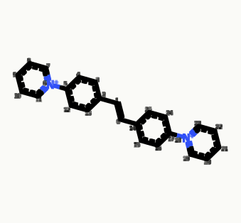 C(=Cc1ccc(-[n+]2ccccc2)cc1)c1ccc(-[n+]2ccccc2)cc1